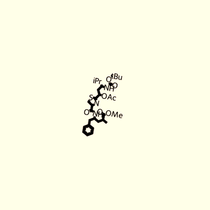 COC(=O)C(C)CC(Cc1ccccc1)NC(=O)C1CSC(C(CC(NC(=O)OC(C)(C)C)C(C)C)OC(C)=O)=N1